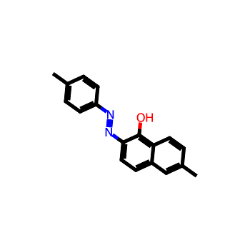 Cc1ccc(N=Nc2ccc3cc(C)ccc3c2O)cc1